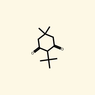 CC1(C)CC(=O)C(C(C)(C)C)C(=O)C1